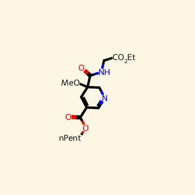 CCCCCOC(=O)C1=CC(OC)(C(=O)NCC(=O)OCC)CN=C1